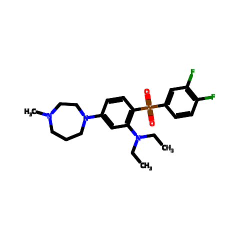 CCN(CC)c1cc(N2CCCN(C)CC2)ccc1S(=O)(=O)c1ccc(F)c(F)c1